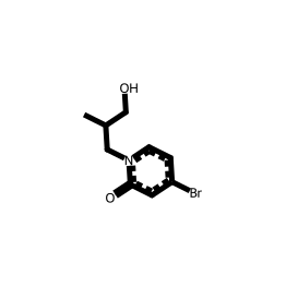 CC(CO)Cn1ccc(Br)cc1=O